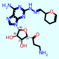 NCCC(=O)[C@H]1O[C@@H](n2cnc3c(N)nc(N/N=C/C4CCC=CO4)nc32)[C@H](O)[C@@H]1O